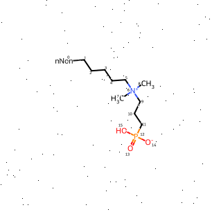 CCCCCCCCCCCCCC[N+](C)(C)CCCP(=O)([O-])O